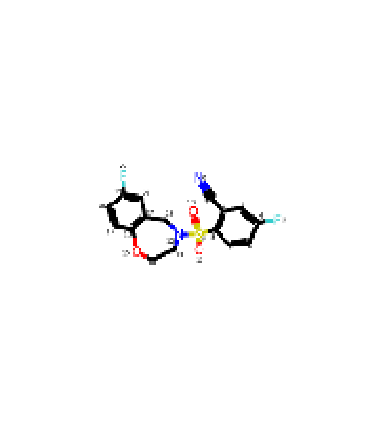 N#Cc1cc(F)ccc1S(=O)(=O)N1CCOc2ccc(F)cc2C1